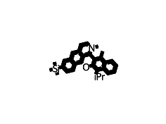 Cc1c2c(c(C(C)C)c3ccccc13)Oc1c3ccc([Si](C)(C)C)cc3cc3cc[n+](C)c-2c13